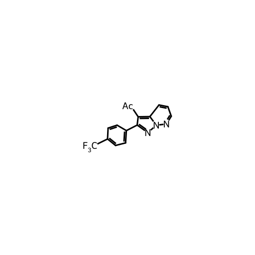 CC(=O)c1c(-c2ccc(C(F)(F)F)cc2)nn2ncccc12